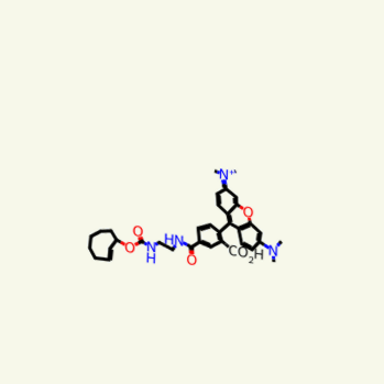 CN(C)c1ccc2c(-c3ccc(C(=O)NCCNC(=O)OC4/C=C/CCCCC4)cc3C(=O)O)c3ccc(=[N+](C)C)cc-3oc2c1